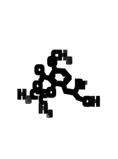 COc1ccc(/C=C(\Br)CO)c2c1C(=O)OC(C)(C)O2